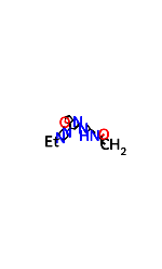 C=CC(=O)NCC1CN(c2cc(N3CCN(CC)CC3)c3occc3n2)C1